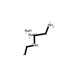 CCNCCN.[NaH].[NaH]